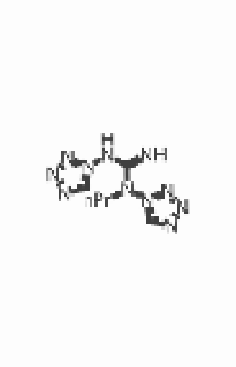 CCCN(C(=N)Nn1cnnn1)n1cnnn1